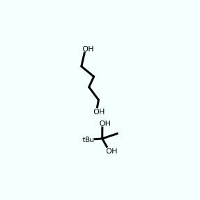 CC(C)(C)C(C)(O)O.OCCCCO